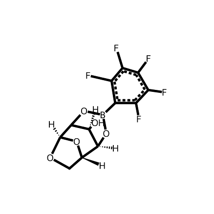 O[C@@H]1C2OB(c3c(F)c(F)c(F)c(F)c3F)O[C@H]1[C@@H]1CO[C@@H]2O1